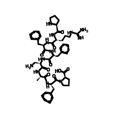 C[C@H](NC(=O)[C@H](CN)NC(=O)[C@@H](Cc1ccccc1)NC(=O)[C@@H](Cc1ccccc1)NC(=O)[C@@H](CCCNC(=N)N)NC(=O)[C@@H]1CCCN1)C(=O)N[C@@H](Cc1ccccc1)C(=O)N1CCC[C@@H]1C(=O)O